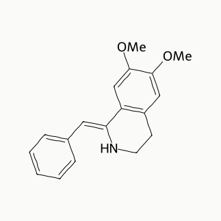 COc1cc2c(cc1OC)/C(=C/c1ccccc1)NCC2